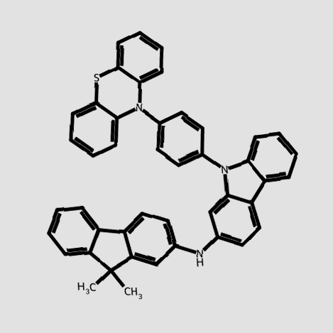 CC1(C)c2ccccc2-c2ccc(Nc3ccc4c5ccccc5n(-c5ccc(N6c7ccccc7Sc7ccccc76)cc5)c4c3)cc21